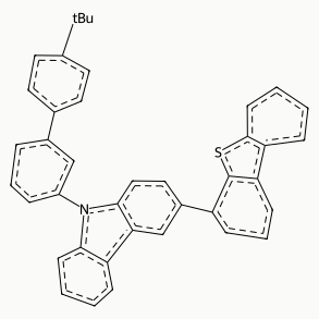 CC(C)(C)c1ccc(-c2cccc(-n3c4ccccc4c4cc(-c5cccc6c5sc5ccccc56)ccc43)c2)cc1